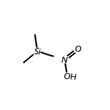 C[Si](C)C.O=NO